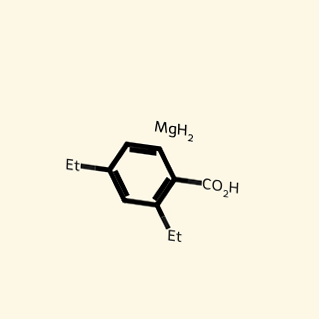 CCc1ccc(C(=O)O)c(CC)c1.[MgH2]